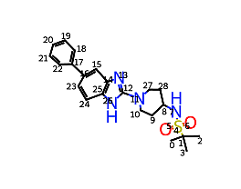 CC(C)(C)S(=O)(=O)NC1CCN(c2nc3cc(-c4ccccc4)ccc3[nH]2)CC1